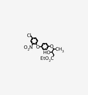 CCOC(=O)CC(O)C(C)Oc1ccc(Oc2ccc(Cl)cc2[N+](=O)[O-])cc1